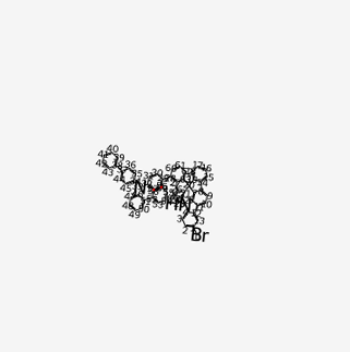 Brc1ccc2[nH]c3c4c(ccc3c2c1)-c1ccccc1C41c2ccccc2-c2c(-c3ccc(N(c4ccc(-c5ccccc5)cc4)c4ccccc4-c4ccccc4)cc3)cccc21